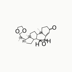 C[C@H](C1OCCO1)[C@H]1CCC2C3C(CC[C@@]21C)[C@@]1(C)CCC(=O)C=C1[C@@H]1O[C@H]31